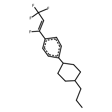 CCCC1CCC(c2ccc(/C(F)=C/C(F)(F)F)cc2)CC1